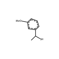 COc1cccc(C(C)S)c1